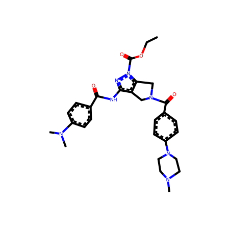 CCOC(=O)n1nc(NC(=O)c2ccc(N(C)C)cc2)c2c1CN(C(=O)c1ccc(N3CCN(C)CC3)cc1)C2